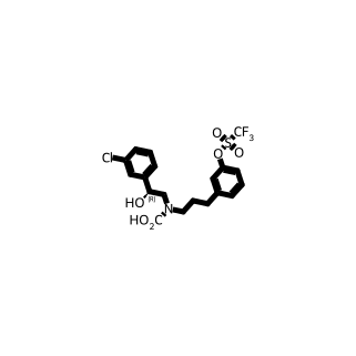 O=C(O)N(CCCc1cccc(OS(=O)(=O)C(F)(F)F)c1)C[C@H](O)c1cccc(Cl)c1